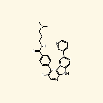 CN(C)CCCNC(=O)c1ccc(-c2c(F)cnc3[nH]c4cnc(-c5cccnc5)cc4c23)cc1